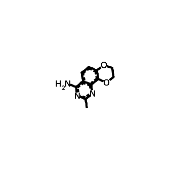 Cc1nc(N)c2ccc3c(c2n1)OCCO3